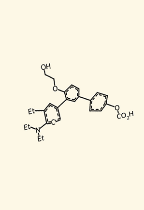 CCc1cc(-c2cc(-c3ccc(OC(=O)O)cc3)ccc2OCCO)ccc1N(CC)CC